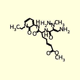 CCn1cccc(NC(=O)C(CC/C=C/C(=O)OC)NC(=O)/C(=C/N)N(C)N)c1=O